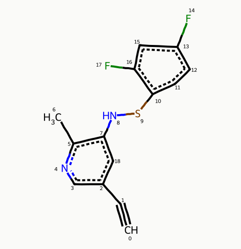 C#Cc1cnc(C)c(NSc2ccc(F)cc2F)c1